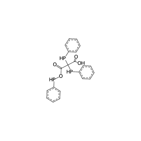 O=C(O)C(Pc1ccccc1)(Pc1ccccc1)C(=O)OPc1ccccc1